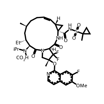 CC[C@@H]1C[C@@H](C)CC/C=C\[C@@H]2C[C@@]2(C(=O)NS(=O)(=O)C2(C)CC2)NC(=O)[C@@H]2N(C[C@@](C)(Oc3nccc4cc(OC)c(F)cc34)C2(F)F)C(=O)[C@H]1N(C(=O)O)C(C)C